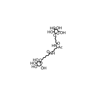 CC(=O)[C@@H](CCCCNC(=O)CCCCCOC1O[C@H](CO)CC(O)C(O)C1O)NC(=O)CCCCOC1OC(CO)C(O)C(O)C1O